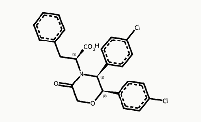 O=C(O)[C@H](Cc1ccccc1)N1C(=O)CO[C@H](c2ccc(Cl)cc2)[C@@H]1c1ccc(Cl)cc1